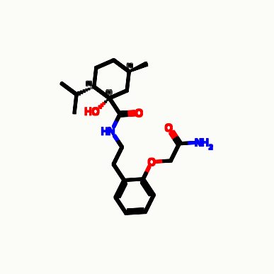 CC(C)[C@@H]1CC[C@@H](C)C[C@@]1(O)C(=O)NCCc1ccccc1OCC(N)=O